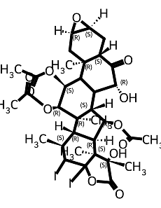 CC(=O)O[C@H]1[C@@H]2[C@H]([C@H](C)C(I)C3(I)OC(=O)[C@@](C)(O)[C@]23C)[C@]2(C)[C@@H]1C1C([C@H](OC(C)=O)[C@@H]2OC(C)=O)[C@@]2(C)C[C@H]3O[C@H]3C[C@@H]2C(=O)[C@@H]1O